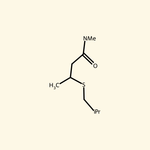 CNC(=O)CC(C)SCC(C)C